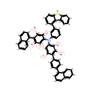 Bc1c(B)c(N(c2cccc(-c3cccc4sc5ccccc5c34)c2)c2c(B)c(B)c(-c3cccc4ccccc34)c(B)c2B)c(B)c(B)c1-c1ccc(-c2cccc3ccccc23)cc1